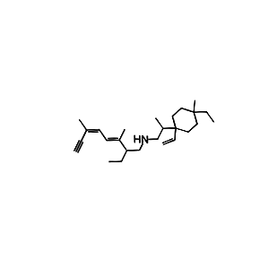 C#C/C(C)=C\C=C(/C)C(CC)CNCC(C)C1(C=C)CCC(C)(CC)CC1